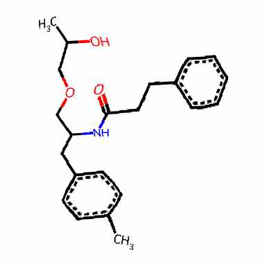 Cc1ccc(CC(COCC(C)O)NC(=O)CCc2ccccc2)cc1